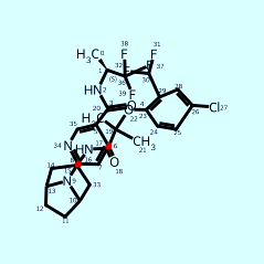 C[C@H](NC(=O)c1ccc(N2C3CCC2CC(NC(=O)C(C)(C)Oc2ccc(Cl)cc2C(F)F)C3)nc1)C(F)(F)F